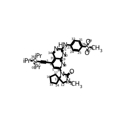 CC(C)[Si](C#Cc1cc(N2C(=O)N(C)CC23CCCC3)nc2nc(Nc3ccc(S(C)(=O)=O)cc3)ncc12)(C(C)C)C(C)C